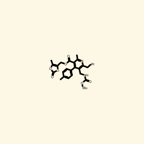 Cc1ccc(-c2c(CNC(=O)OC(C)(C)C)c(CC(C)C)nc(C)c2C(=O)OCc2oc(=O)oc2C)cc1